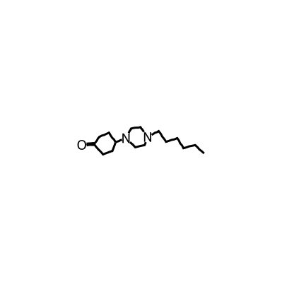 CCCCCCN1CCN(C2CCC(=O)CC2)CC1